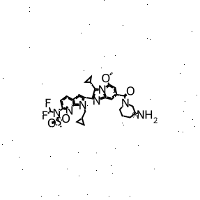 COc1cc(C(=O)N2CCC[C@@H](N)C2)cc2nc(-c3cc4ccc(N(C(F)F)S(C)(=O)=O)nc4n3CC3CC3)c(C3CC3)n12